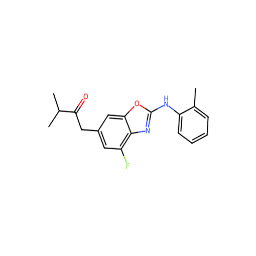 Cc1ccccc1Nc1nc2c(F)cc(CC(=O)C(C)C)cc2o1